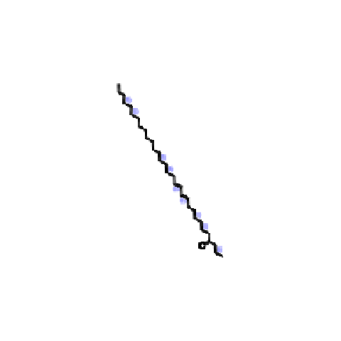 C=C/C=C/C=C/CCCCCC/C=C/C=C/C/C=C/C=C/C/C=C/C=C/CC(=O)/C=C/C